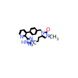 CCCc1cn(C)c(=O)n1Cc1ccc(-c2cccnc2-c2nnn[nH]2)cc1